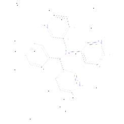 c1ccc(C(c2cccnc2)N(c2cccnc2)c2cccnc2)cc1